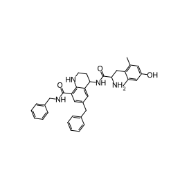 Cc1cc(O)cc(C)c1CC(N)C(=O)NC1CCNc2c(C(=O)NCc3ccccc3)cc(Cc3ccccc3)cc21